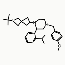 COc1ccc(CN2CCN(C3CC4(C3)CN(C(C)(C)C)C4)C(c3ccccc3C(C)C)C2)cc1